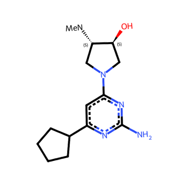 CN[C@H]1CN(c2cc(C3CCCC3)nc(N)n2)C[C@@H]1O